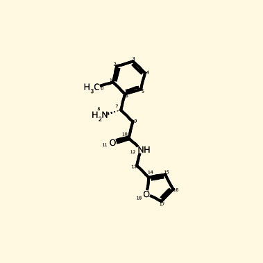 Cc1ccccc1[C@@H](N)CC(=O)NCc1ccco1